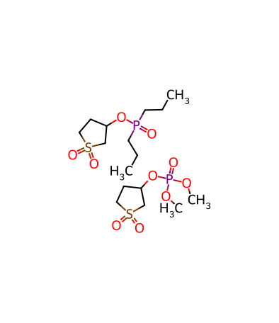 CCCP(=O)(CCC)OC1CCS(=O)(=O)C1.COP(=O)(OC)OC1CCS(=O)(=O)C1